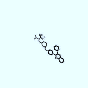 CC(C)N(CC1CCCN(Cc2ccc(-c3nc4ccccc4nc3-c3ccccc3)cc2)C1)C(N)=O